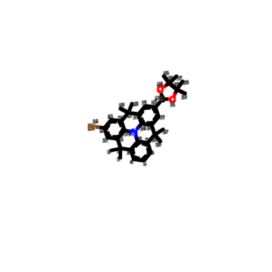 CC1(C)c2cccc3c2N2c4c1cc(Br)cc4C(C)(C)c1cc(B4OC(C)(C)C(C)(C)O4)cc(c12)C3(C)C